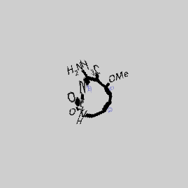 CO/C1=C/C=C\CNS(=O)(=O)/N=C(/N)C1C